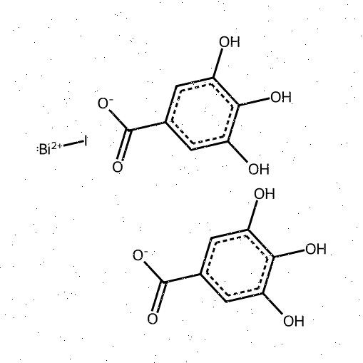 O=C([O-])c1cc(O)c(O)c(O)c1.O=C([O-])c1cc(O)c(O)c(O)c1.[I][Bi+2]